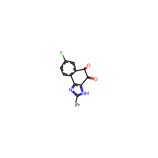 CC(C)c1nc2c([nH]1)C(=O)C(=O)c1cc(F)ccc1-2